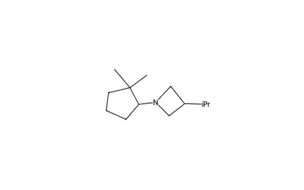 CC(C)C1CN(C2CCCC2(C)C)C1